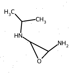 CC(C)NC1OC1N